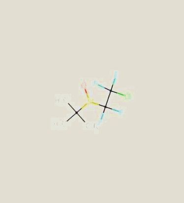 CC(C)(C)[S+]([O-])C(F)(F)C(F)(F)Cl